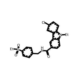 CCn1c2ccc(Cl)cc2c2cc(C(=O)NCc3ccc(S(=O)(=O)CC)cc3)ccc21